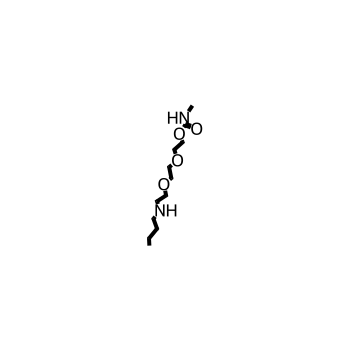 CCCCNCCOCCOCCOC(=O)NC